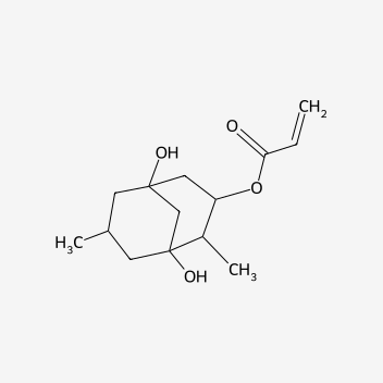 C=CC(=O)OC1CC2(O)CC(C)CC(O)(C2)C1C